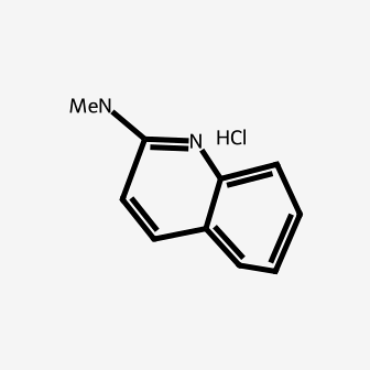 CNc1ccc2ccccc2n1.Cl